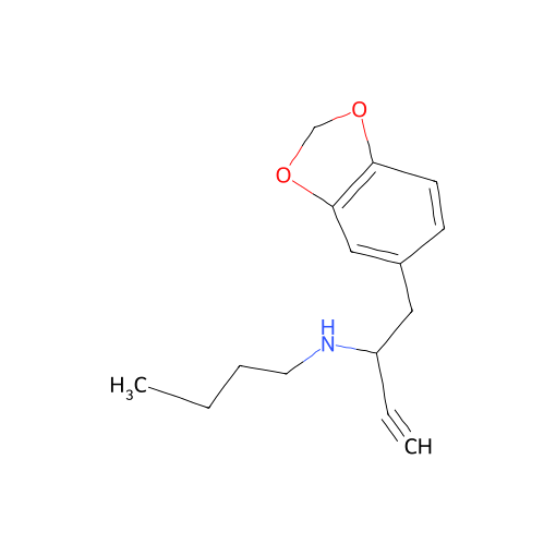 C#CC(Cc1ccc2c(c1)OCO2)NCCCC